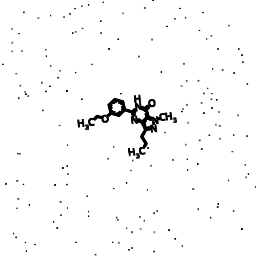 CCCc1nn(C)c2c(=O)[nH]c(-c3cccc(OCC)c3)nc12